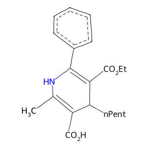 CCCCCC1C(C(=O)O)=C(C)NC(c2ccccc2)=C1C(=O)OCC